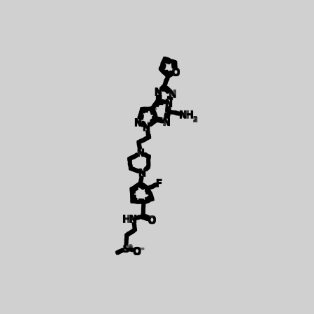 C[S+]([O-])CCNC(=O)c1ccc(N2CCN(CCn3ncc4c3nc(N)n3nc(-c5ccco5)nc43)CC2)c(F)c1